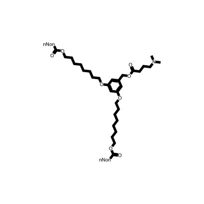 CCCCCCCCCC(=O)OCCCCCCCCOc1cc(COC(=O)CCCN(C)C)cc(OCCCCCCCCOC(=O)CCCCCCCCC)c1